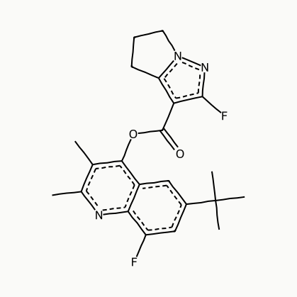 Cc1nc2c(F)cc(C(C)(C)C)cc2c(OC(=O)c2c(F)nn3c2CCC3)c1C